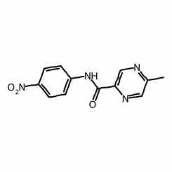 Cc1cnc(C(=O)Nc2ccc([N+](=O)[O-])cc2)cn1